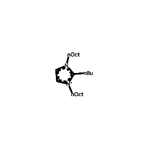 CCCCCCCCn1cc[n+](CCCCCCCC)c1CCCC